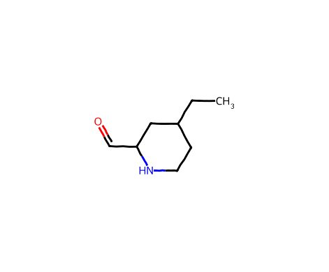 CCC1CCNC(C=O)C1